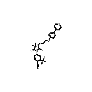 CC1(C)C(=O)N(c2ccc(C#N)c(C(F)(F)F)c2)C(=O)N1CCCOc1ccc(-c2ccncc2)cn1